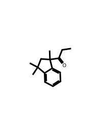 CCC(=O)C1(C)CC(C)(C)c2ccccc21